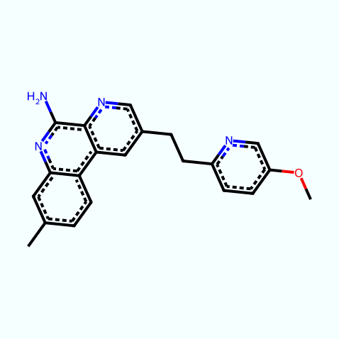 COc1ccc(CCc2cnc3c(N)nc4cc(C)ccc4c3c2)nc1